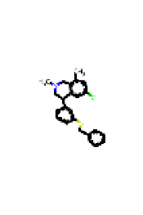 Cc1cc(Cl)cc2c1CN(C)CC2c1cccc(SCc2ccccc2)c1